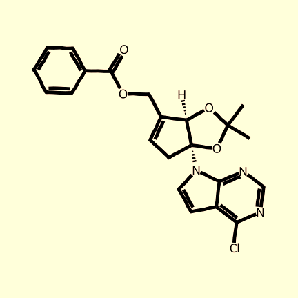 CC1(C)O[C@@H]2C(COC(=O)c3ccccc3)=CC[C@]2(n2ccc3c(Cl)ncnc32)O1